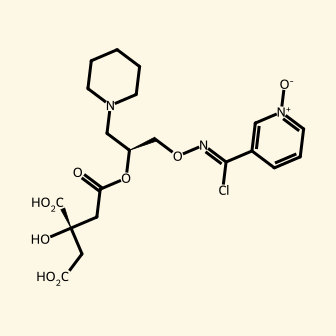 O=C(O)C[C@](O)(CC(=O)O[C@H](CO/N=C(\Cl)c1ccc[n+]([O-])c1)CN1CCCCC1)C(=O)O